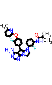 C=C(C)C(=O)Nc1cccc(N2CCn3c2c(-c2ccc(Oc4cccc(C)n4)c(F)c2)c2c(N)ncnc23)c1F